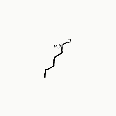 CCCCC[SiH2]Cl